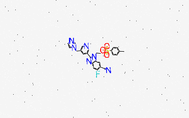 Cc1ccc(S(=O)(=O)OCCn2c(-c3cncc(Cn4ccnc4)c3)nc3cc(F)c(C#N)cc32)cc1